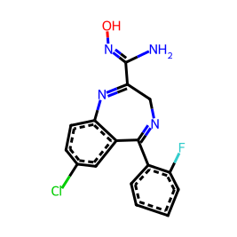 NC(=NO)C1=Nc2ccc(Cl)cc2C(c2ccccc2F)=NC1